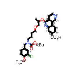 CC(COCCCCN(Cc1ccc(OC(F)(F)F)c(Cl)c1)C(=O)OC(C)(C)C)Oc1nc2cc(C(=O)O)ccc2c2cnccc12